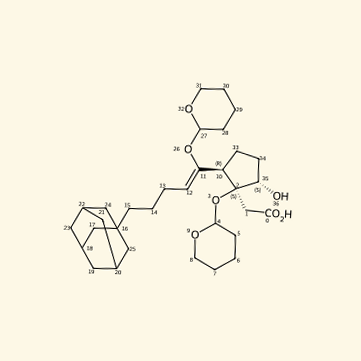 O=C(O)C[C@]1(OC2CCCCO2)[C@@H](C(=CCCCC23CC4CC(CC(C4)C2)C3)OC2CCCCO2)CC[C@@H]1O